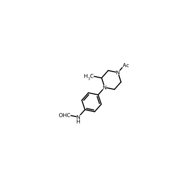 CC(=O)N1CCN(c2ccc(NC=O)cc2)C(C)C1